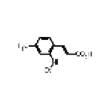 CCNc1cc(C(F)(F)F)ccc1/C=C/C(=O)O